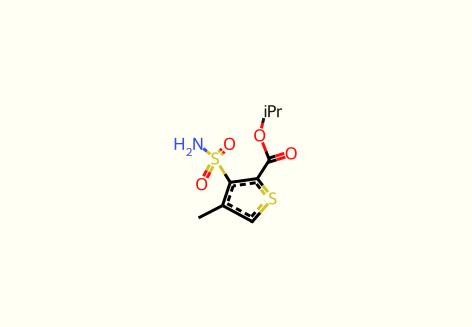 Cc1csc(C(=O)OC(C)C)c1S(N)(=O)=O